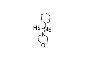 S=[SH](S)(C1CCCCC1)N1CCOCC1